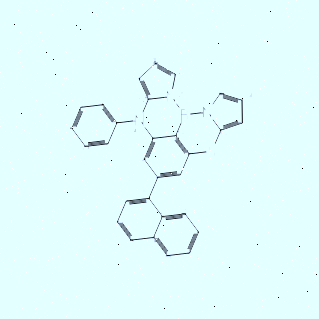 c1ccc(N2c3cc(-c4cccc5ccccc45)cc4c3B(n3cccc3S4)n3cccc32)cc1